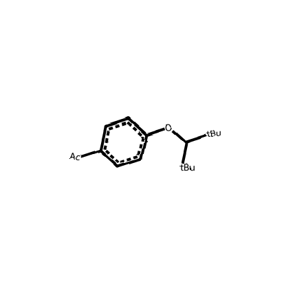 CC(=O)c1ccc(OC(C(C)(C)C)C(C)(C)C)cc1